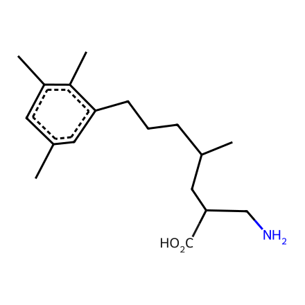 Cc1cc(C)c(C)c(CCCC(C)CC(CN)C(=O)O)c1